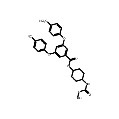 CCOC(=O)c1ccc(Oc2cc(Oc3ccc(C#N)cc3)cc(C(=O)NC3CCC(NC(=O)OC(C)(C)C)CC3)c2)cc1